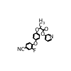 CC(Oc1ccc(Oc2ccc(C#N)cc2F)cc1)C(=O)Oc1cccnc1